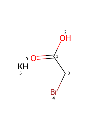 O=C(O)CBr.[KH]